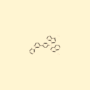 N#Cc1ccc(N(c2ccc(-c3ccc4sc5ccccc5c4c3)cc2)c2ccc(C#N)c3ccccc23)c2ccccc12